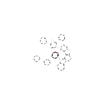 c1ccc(-c2cccc(-c3ccc(-c4cccc5sc6ccc7c8ccccc8n(-c8ccccc8)c7c6c45)c(-c4nc(-c5ccccc5)nc(-c5ccccc5)n4)c3)c2)cc1